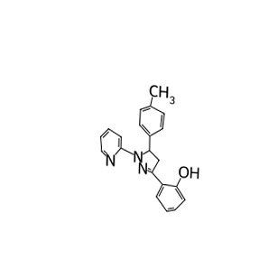 Cc1ccc(C2CC(c3ccccc3O)=NN2c2ccccn2)cc1